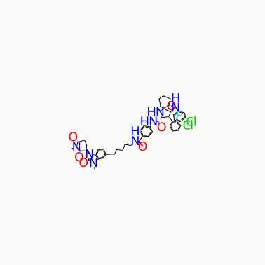 CN1C(=O)CCC(n2c(=O)n(C)c3cc(CCCCCNC(=O)c4ccc(NC(=O)[C@@H]5NC6(CCCCC6)[C@@]6(C(=O)Nc7cc(Cl)ccc76)[C@H]5c5cccc(Cl)c5F)cc4)ccc32)C1=O